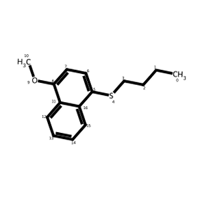 CCCCSc1ccc(OC)c2ccccc12